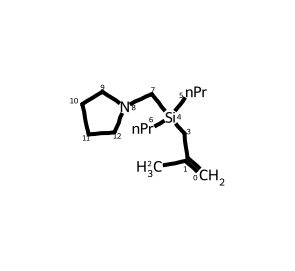 C=C(C)C[Si](CCC)(CCC)CN1CCCC1